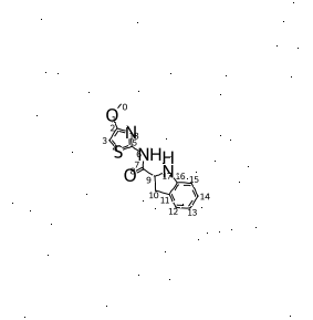 COc1csc(NC(=O)C2Cc3ccccc3N2)n1